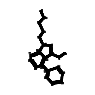 CCc1cn(CCCOC)c2nccc(-c3ccccc3)c12